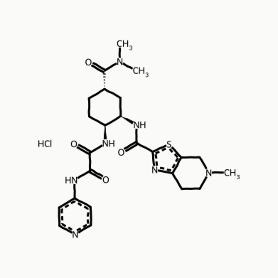 CN1CCc2nc(C(=O)N[C@@H]3C[C@@H](C(=O)N(C)C)CC[C@@H]3NC(=O)C(=O)Nc3ccncc3)sc2C1.Cl